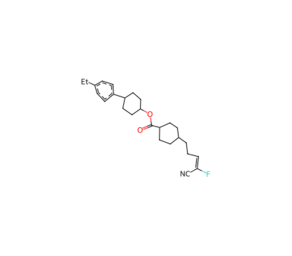 CCc1ccc(C2CCC(OC(=O)C3CCC(CC/C=C(/F)C#N)CC3)CC2)cc1